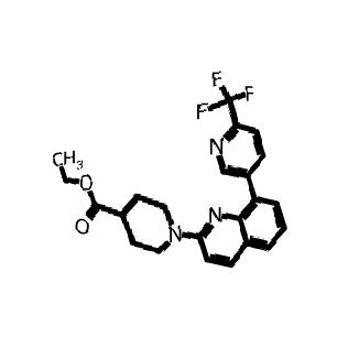 CCOC(=O)C1CCN(c2ccc3cccc(-c4ccc(C(F)(F)F)nc4)c3n2)CC1